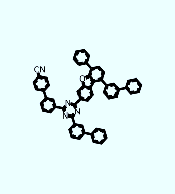 N#Cc1ccc(-c2cccc(-c3nc(-c4cccc(-c5ccccc5)c4)nc(-c4ccc5c(c4)oc4c(-c6ccccc6)ccc(-c6cccc(-c7ccccc7)c6)c45)n3)c2)cc1